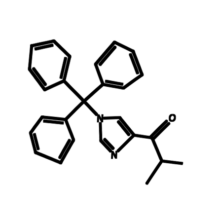 CC(C)C(=O)c1cn(C(c2ccccc2)(c2ccccc2)c2ccccc2)cn1